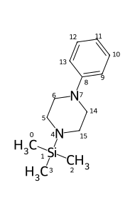 C[Si](C)(C)N1CCN(c2ccccc2)CC1